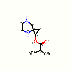 CCCCC(CCC)C(=O)OC1CC12CNCCN2